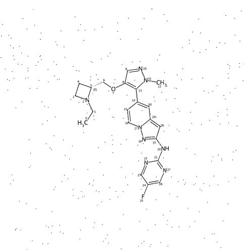 CCN1CC[C@@H]1COc1cnn(C)c1-c1ccn2nc(Nc3ncc(F)cn3)cc2c1